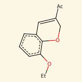 CCOc1cccc2c1OCC(C(C)=O)=C2